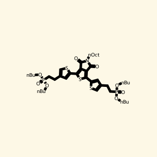 CCCCCCCCN1C(=O)c2c(-c3cc(CCP(=O)(OCCCC)OCCCC)cs3)sc(-c3cc(CCP(=O)(OCCCC)OCCCC)cs3)c2C1=O